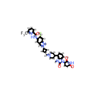 Cn1c(=O)n(C2CCC(=O)NC2=O)c2cccc(C3CCN(C[C@H]4C[C@@H](n5cc6cc(NC(=O)c7cccc(C(F)(F)F)n7)c(F)cc6n5)C4)CC3)c21